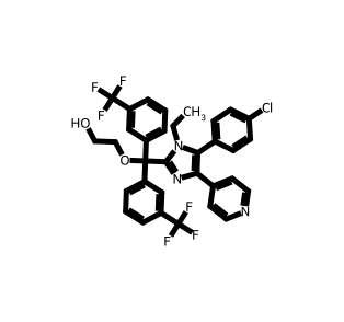 CCn1c(C(OCCO)(c2cccc(C(F)(F)F)c2)c2cccc(C(F)(F)F)c2)nc(-c2ccncc2)c1-c1ccc(Cl)cc1